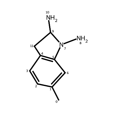 Cc1ccc2c(c1)N(N)C(N)C2